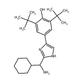 CC(C)(C)c1cc(-c2c[nH]c(C(N)C3CCCCC3)n2)cc(C(C)(C)C)c1O